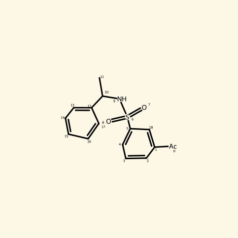 CC(=O)c1cccc(S(=O)(=O)NC(C)c2ccccc2)c1